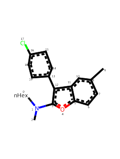 CCCCCCN(C)c1oc2ccc(C)cc2c1-c1ccc(Cl)cc1